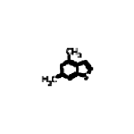 CC1=c2ccsc2=CC(C)C1